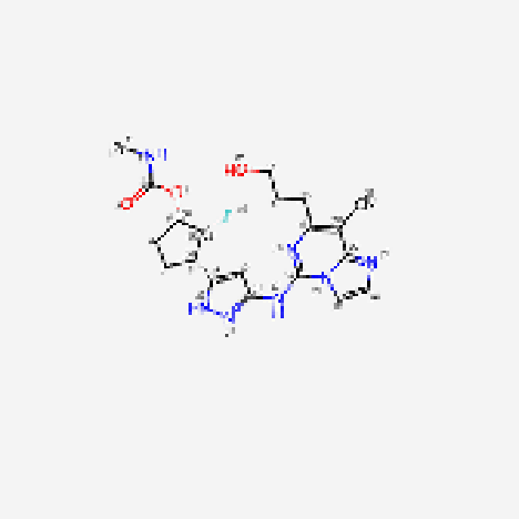 CC(C)NC(=O)O[C@H]1CC[C@@H](c2cc(Nc3nc(CCCO)c(C#N)c4nccn34)n[nH]2)[C@H]1F